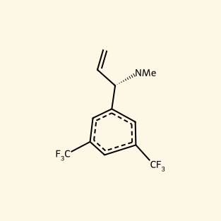 C=C[C@H](NC)c1cc(C(F)(F)F)cc(C(F)(F)F)c1